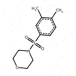 Cc1ccc(S(=O)(=O)N2CCOCC2)cc1C